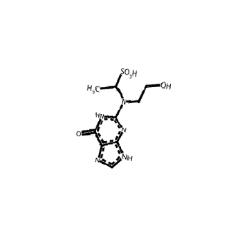 CC(N(CCO)c1nc2[nH]cnc2c(=O)[nH]1)S(=O)(=O)O